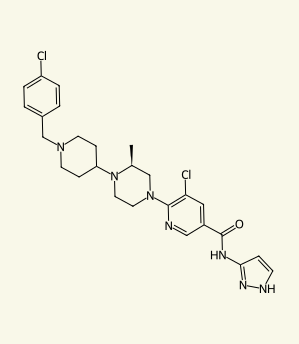 C[C@H]1CN(c2ncc(C(=O)Nc3cc[nH]n3)cc2Cl)CCN1C1CCN(Cc2ccc(Cl)cc2)CC1